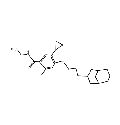 O=C(O)CNC(=O)c1cc(C2CC2)c(OCCCC2CC3CCCC(C2)C3)cc1F